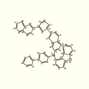 c1ccc(-c2ccc(N(c3ccc4ccc(-c5cccc(-c6ccc7ccccc7c6)c5)cc4c3)c3cccc4oc5ccccc5c34)cc2)cc1